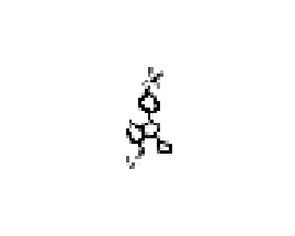 C=Cc1ccnc2c1c(C1CCC1)nn2-c1ccc(OC(F)(F)F)cc1